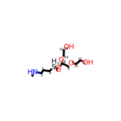 CNCCC[SiH2]OC(COCCO)OCCO